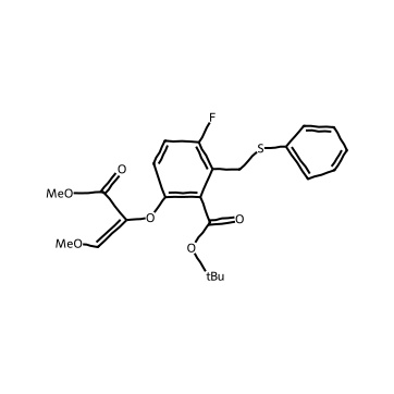 CO/C=C(/Oc1ccc(F)c(CSc2ccccc2)c1C(=O)OC(C)(C)C)C(=O)OC